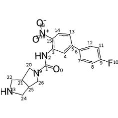 O=C(Nc1cc(-c2ccc(F)cc2)ccc1[N+](=O)[O-])N1CC2CNCC2C1